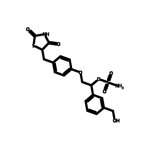 NS(=O)(=O)OC(COc1ccc(CC2SC(=O)NC2=O)cc1)c1cccc(CO)c1